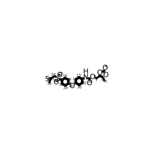 Cc1oc(=O)oc1COC(=O)Nc1ccc(Oc2ccc(S(=O)(=O)CC3CS3)cc2)cc1